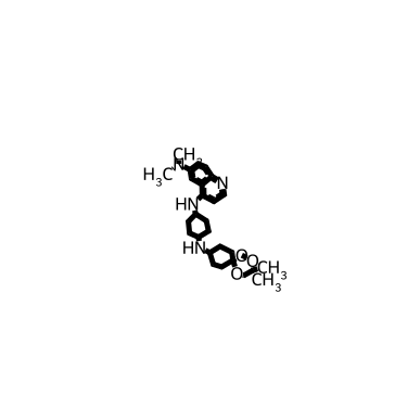 CN(C)c1ccc2nccc(NC3CCC(NC4CCC5(CC4)OCC(C)(C)OO5)CC3)c2c1